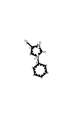 Ic1cn(-c2ccccc2)cn1